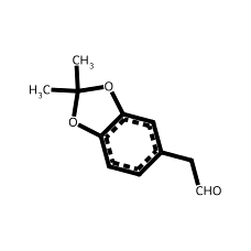 CC1(C)Oc2ccc(CC=O)cc2O1